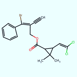 C#CC(COC(=O)C1C(C=C(Cl)Cl)C1(C)C)=C(Br)c1ccccc1